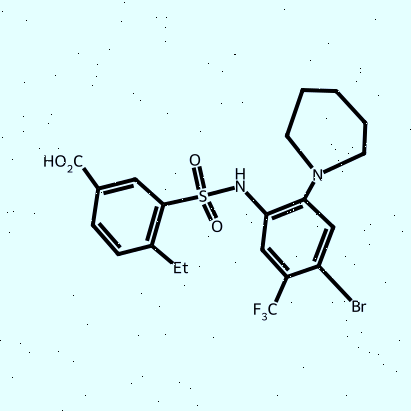 CCc1ccc(C(=O)O)cc1S(=O)(=O)Nc1cc(C(F)(F)F)c(Br)cc1N1CCCCC1